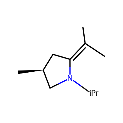 CC(C)=C1C[C@H](C)CN1C(C)C